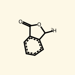 [2H]C1OC(=O)c2ccccc21